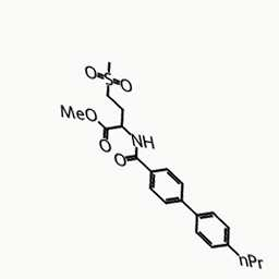 CCCc1ccc(-c2ccc(C(=O)NC(CCS(C)(=O)=O)C(=O)OC)cc2)cc1